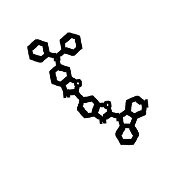 c1ccc(N(c2ccccc2)c2ccc3nc(-c4ccc5nc(-n6c7ccccc7c7cnccc76)oc5c4)oc3c2)cc1